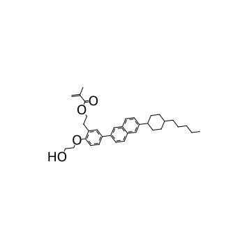 C=C(C)C(=O)OCCc1cc(-c2ccc3cc(C4CCC(CCCCC)CC4)ccc3c2)ccc1OCCO